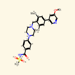 CCOc1cncc(-c2cc(OC)c(CN3CCN(c4ccc(C(=O)NS(C)(=O)=O)cc4)CC3)c(OC)c2)c1